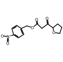 O=C(CC(=O)C1CCCO1)OCc1ccc([N+](=O)[O-])cc1